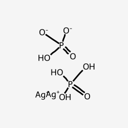 O=P(O)(O)O.O=P([O-])([O-])O.[Ag+].[Ag+]